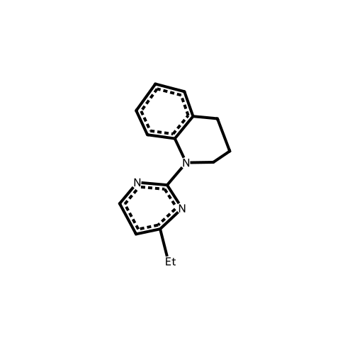 CCc1ccnc(N2CCCc3ccccc32)n1